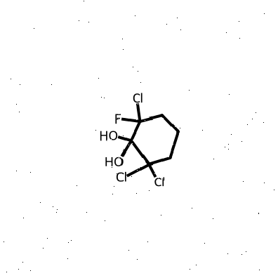 OC1(O)C(F)(Cl)CCCC1(Cl)Cl